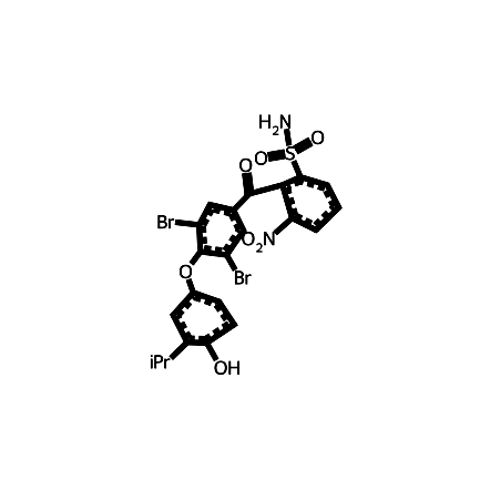 CC(C)c1cc(Oc2c(Br)cc(C(=O)c3c([N+](=O)[O-])cccc3S(N)(=O)=O)cc2Br)ccc1O